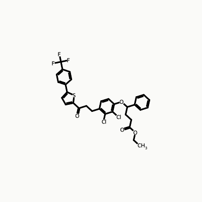 CCOC(=O)CCC(Oc1ccc(CCC(=O)c2ccc(-c3ccc(C(F)(F)F)cc3)s2)c(Cl)c1Cl)c1ccccc1